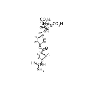 Cc1cc(NC(=N)N)ccc1C(=O)Oc1ccc(CNS(=O)(=O)N(C)[C@@H](CC(=O)O)C(=O)O)cc1